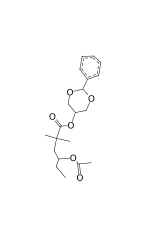 CCC(CC(C)(C)C(=O)OC1COC(c2ccccc2)OC1)OC(C)=O